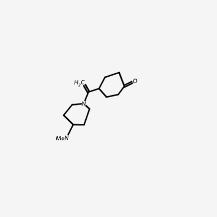 C=C(C1CCC(=O)CC1)N1CCC(NC)CC1